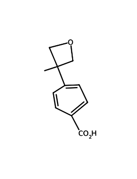 CC1(c2ccc(C(=O)O)cc2)COC1